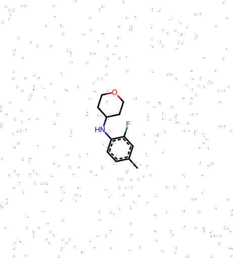 Cc1ccc(NC2CCOCC2)c(F)c1